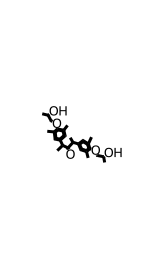 Cc1cc(C(C)C(=O)C(C)c2cc(C)c(OCC(C)O)c(C)c2)cc(C)c1OCC(C)O